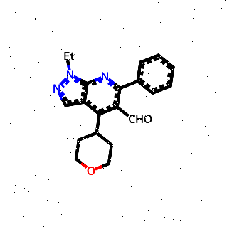 CCn1ncc2c(C3CCOCC3)c(C=O)c(-c3ccccc3)nc21